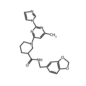 Cc1cc(N2CCCC(C(=O)NCc3ccc4c(c3)OCO4)C2)nc(-n2ccnc2)n1